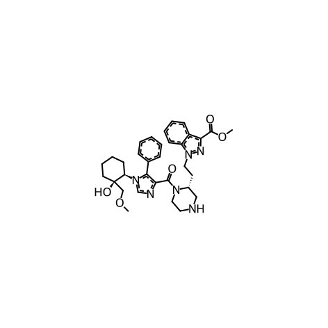 COC[C@]1(O)CCCC[C@H]1n1cnc(C(=O)N2CCNC[C@H]2CCn2nc(C(=O)OC)c3ccccc32)c1-c1ccccc1